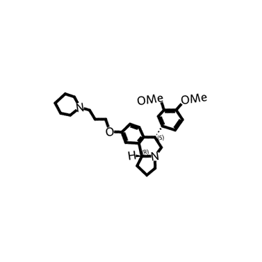 COc1ccc([C@@H]2CN3CCC[C@@H]3c3cc(OCCCN4CCCCC4)ccc32)cc1OC